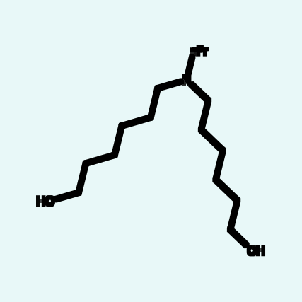 CCCN(CCCCCCO)CCCCCCO